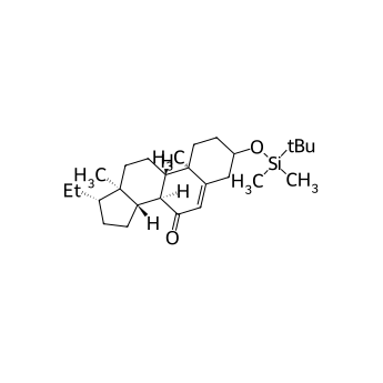 CC[C@H]1CC[C@H]2[C@@H]3C(=O)C=C4CC(O[Si](C)(C)C(C)(C)C)CC[C@]4(C)[C@H]3CC[C@]12C